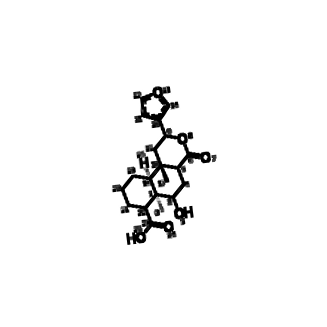 C[C@@]12C(O)CC3C(=O)OC(c4ccoc4)C[C@@]3(C)[C@@H]1CCCC2C(=O)O